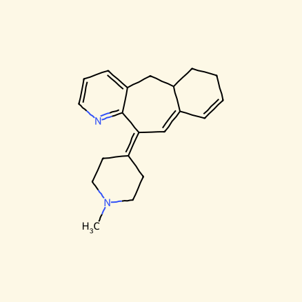 CN1CCC(=C2C=C3C=CCCC3Cc3cccnc32)CC1